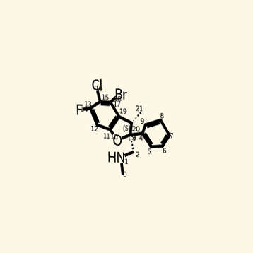 CNC[C@]1(c2ccccc2)Oc2cc(F)c(Cl)c(Br)c2[C@@H]1C